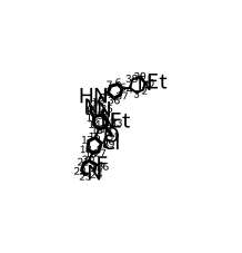 CCN1CCC(c2ccc(Nc3ncc4cc(-c5ccc(-c6cccnc6F)cc5Cl)c(=O)n(CC)c4n3)cc2)CC1